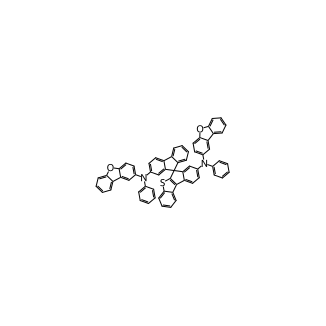 c1ccc(N(c2ccc3c(c2)C2(c4ccccc4-3)c3cc(N(c4ccccc4)c4ccc5oc6ccccc6c5c4)ccc3-c3c2sc2ccccc32)c2ccc3oc4ccccc4c3c2)cc1